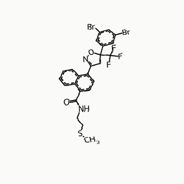 CSCCNC(=O)c1ccc(C2=NOC(c3cc(Br)cc(Br)c3)(C(F)(F)F)C2)c2ccccc12